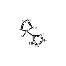 C[N+]1(c2nnn[nH]2)[C]=NN=N1